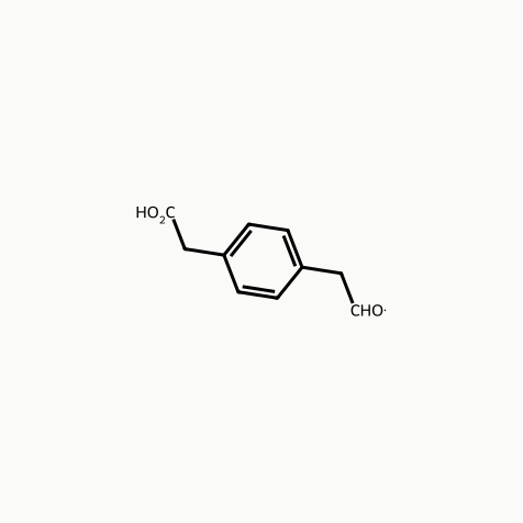 O=[C]Cc1ccc(CC(=O)O)cc1